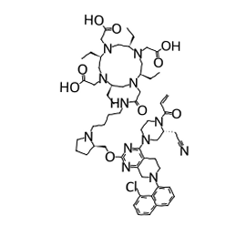 C=CC(=O)N1CCN(c2nc(OC[C@H]3CCCN3CCCCNC(=O)CN3C[C@@H](CC)N(CC(=O)O)C[C@@H](CC)N(CC(=O)O)C[C@@H](CC)N(CC(=O)O)C[C@H]3CC)nc3c2CCN(c2cccc4cccc(Cl)c24)C3)C[C@H]1CC#N